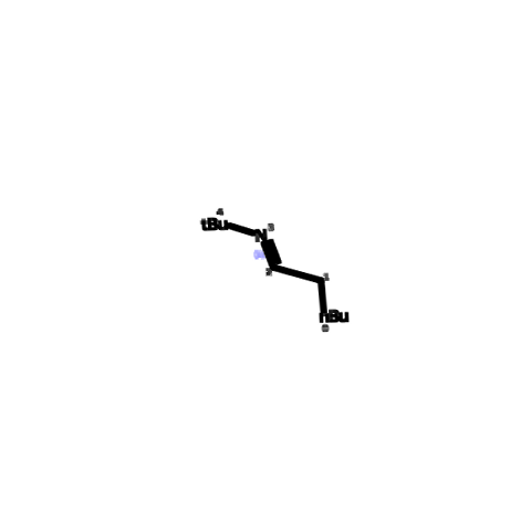 CCCCC/C=N/C(C)(C)C